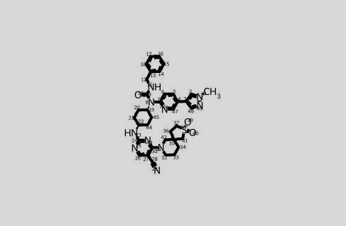 Cn1cc(-c2ccc(N(C(=O)NCc3ccccc3)[C@H]3CC[C@H](Nc4ncc(C#N)c(N5CCCC6(CCS(=O)(=O)C6)C5)n4)CC3)nc2)cn1